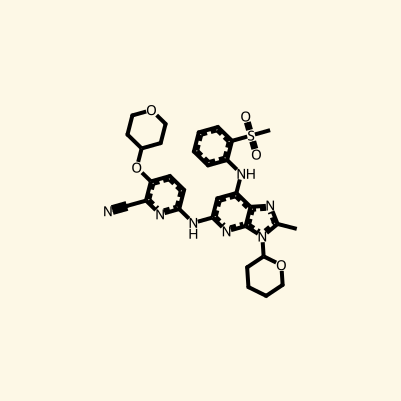 Cc1nc2c(Nc3ccccc3S(C)(=O)=O)cc(Nc3ccc(OC4CCOCC4)c(C#N)n3)nc2n1C1CCCCO1